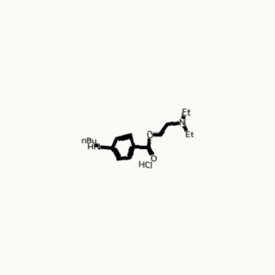 CCCCNc1ccc(C(=O)OCCN(CC)CC)cc1.Cl